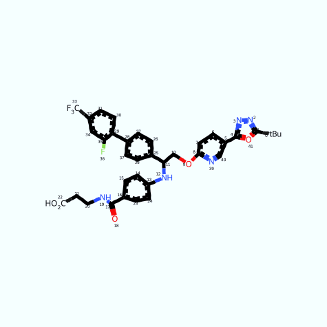 CC(C)(C)c1nnc(-c2ccc(OCC(Nc3ccc(C(=O)NCCC(=O)O)cc3)c3ccc(-c4ccc(C(F)(F)F)cc4F)cc3)nc2)o1